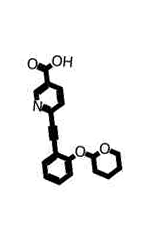 O=C(O)c1ccc(C#Cc2ccccc2OC2CCCCO2)nc1